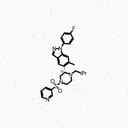 Cc1cc2c(cnn2-c2ccc(F)cc2)cc1[C@H]1CN(S(=O)(=O)c2cccnc2)CCN1CC(C)C